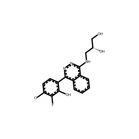 OC[C@H](O)CNc1nnc(-c2ccc(Cl)c(F)c2O)c2ccccc12